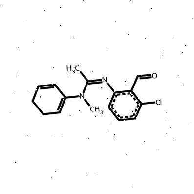 C/C(=N/c1cccc(Cl)c1C=O)N(C)C1=CCCC=C1